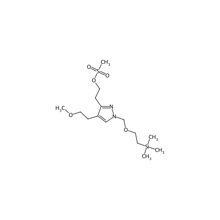 COCCc1cn(COCC[Si](C)(C)C)nc1CCOS(C)(=O)=O